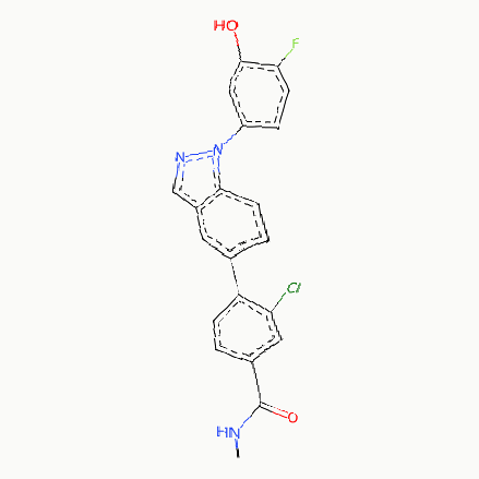 CNC(=O)c1ccc(-c2ccc3c(cnn3-c3ccc(F)c(O)c3)c2)c(Cl)c1